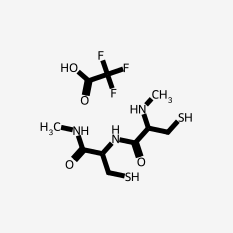 CNC(=O)C(CS)NC(=O)C(CS)NC.O=C(O)C(F)(F)F